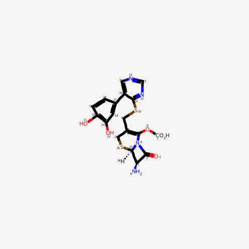 N[C@@H]1C(=O)N2C(OC(=O)O)=C(CSc3ncncc3-c3ccc(O)c(O)c3)CS[C@H]12